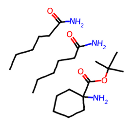 CC(C)(C)OC(=O)C1(N)CCCCC1.CCCCCC(N)=O.CCCCCC(N)=O